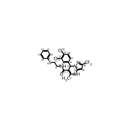 CC1=C(C(=O)NCCSc2ccccc2)C(c2ccc(Cl)c(Cl)c2)n2nc(C(F)(F)F)cc2N1